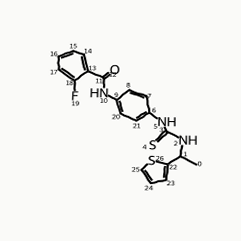 CC(NC(=S)Nc1ccc(NC(=O)c2ccccc2F)cc1)c1cccs1